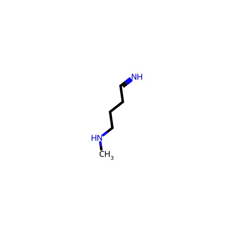 CNCCCC=N